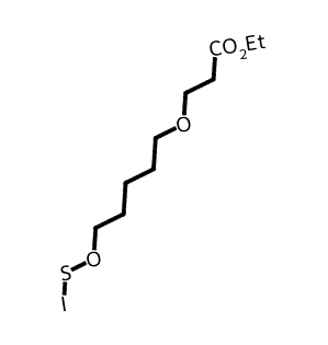 CCOC(=O)CCOCCCCCOSI